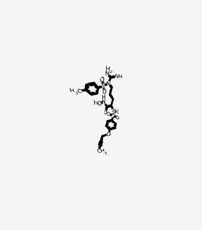 CC#CCOc1ccc(S(=O)(=O)NC(CCCN(C(=N)N)S(=O)(=O)c2ccc(C)cc2)C(=O)NO)cc1